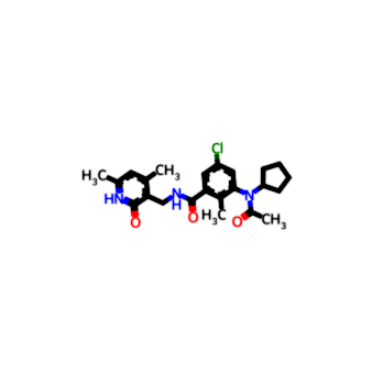 CC(=O)N(c1cc(Cl)cc(C(=O)NCc2c(C)cc(C)[nH]c2=O)c1C)C1CCCC1